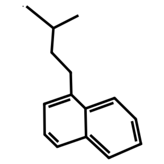 [CH2]C(C)CCc1cccc2ccccc12